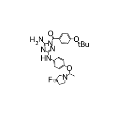 CC(Oc1ccc(Nc2nc(N)n(C(=O)c3ccc(OC(C)(C)C)cc3)n2)cc1)N1CC[C@H](F)C1